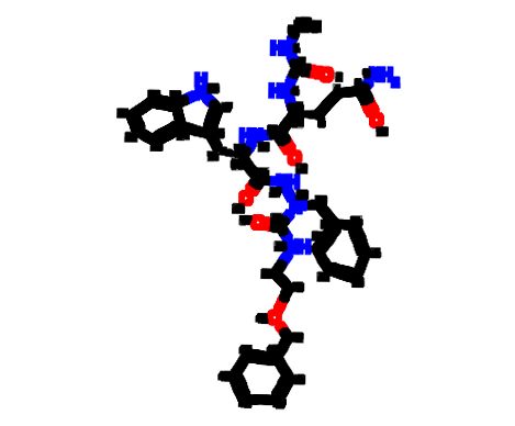 CC(C)(C)NC(=O)N[C@@H](CCC(N)=O)C(=O)N[C@@H](Cc1c[nH]c2ccccc12)C(=O)NN(Cc1ccccc1)C(=O)NCCOCc1ccccc1